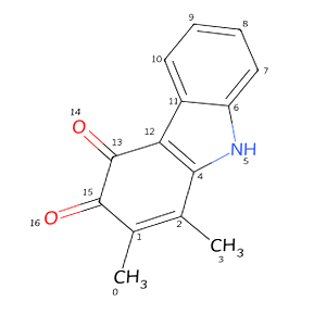 CC1=C(C)c2[nH]c3ccccc3c2C(=O)C1=O